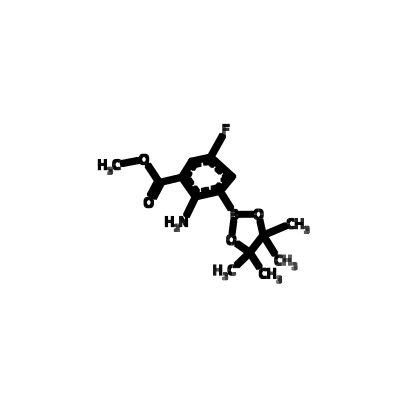 COC(=O)c1cc(F)cc(B2OC(C)(C)C(C)(C)O2)c1N